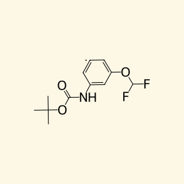 CC(C)(C)OC(=O)Nc1c[c]cc(OC(F)F)c1